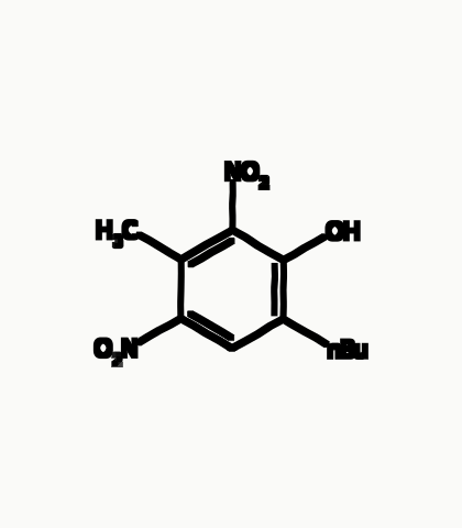 CCCCc1cc([N+](=O)[O-])c(C)c([N+](=O)[O-])c1O